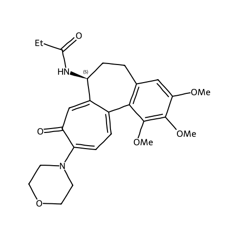 CCC(=O)N[C@H]1CCc2cc(OC)c(OC)c(OC)c2-c2ccc(N3CCOCC3)c(=O)cc21